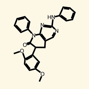 COc1ccc(OC)c(C2Cc3cnc(Nc4ccccc4)nc3N(c3ccccc3)C2=O)c1